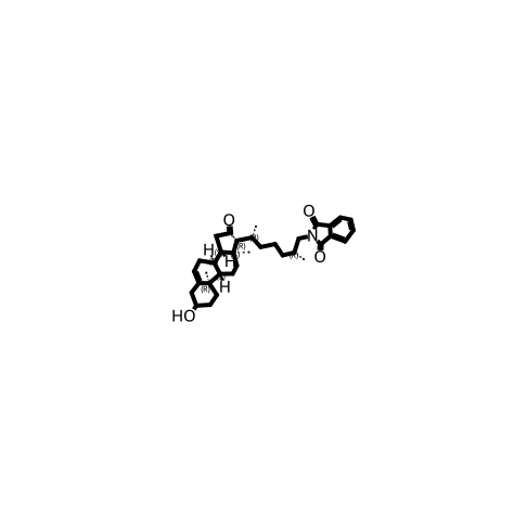 C[C@H](CCC[C@@H](C)[C@H]1C(=O)C[C@H]2[C@@H]3CC=C4CC(O)CC[C@]4(C)[C@H]3CC[C@]12C)CN1C(=O)c2ccccc2C1=O